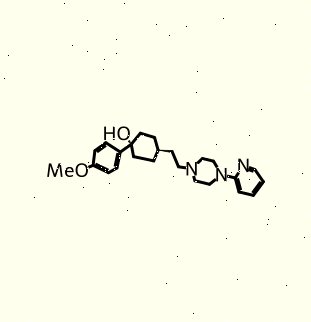 COc1ccc([C@]2(O)CC[C@H](CCN3CCN(c4ccccn4)CC3)CC2)cc1